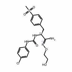 CS(=O)(=O)c1ccc(C[C@H](NC(=O)Nc2ccc(Cl)cc2)/C(N)=N/OCCO)cc1